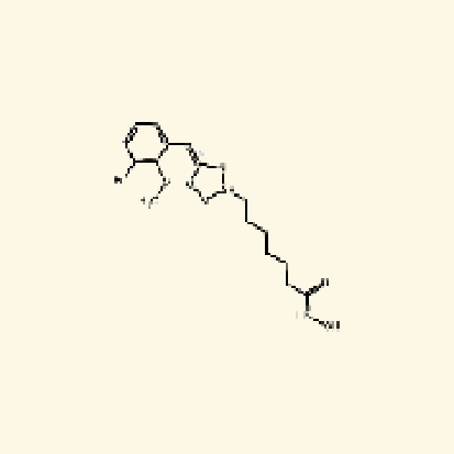 COc1c(Br)cccc1/C=C1/N[SH](CCCCCCC(=O)NO)OO1